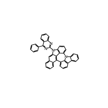 c1ccc(-c2nc(-n3c4cc5ccccc5c5c6cccc7c8ccccc8n(c8cccc3c8c54)c76)nc3ccccc23)cc1